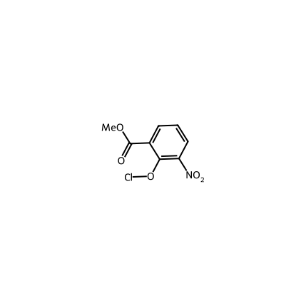 COC(=O)c1cccc([N+](=O)[O-])c1OCl